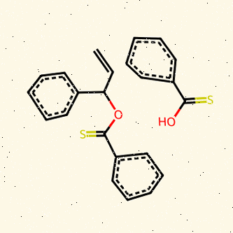 C=CC(OC(=S)c1ccccc1)c1ccccc1.OC(=S)c1ccccc1